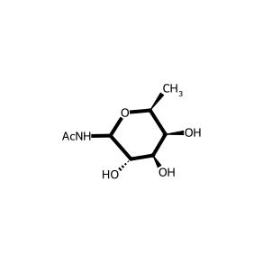 CC(=O)NC1O[C@@H](C)[C@@H](O)[C@@H](O)[C@@H]1O